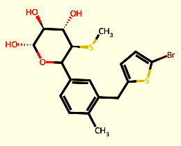 CS[C@H]1C(c2ccc(C)c(Cc3ccc(Br)s3)c2)O[C@H](O)[C@@H](O)[C@@H]1O